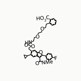 CNC(=O)c1c(-c2ccc(F)cc2)oc2cc(CS(=O)(=O)NCCOCCOCCc3ccccc3C(=O)O)c(C3CC3)cc12